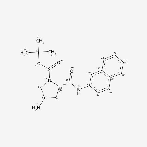 CC(C)(C)OC(=O)N1CC(N)C[C@H]1C(=O)Nc1cnc2ccccc2c1